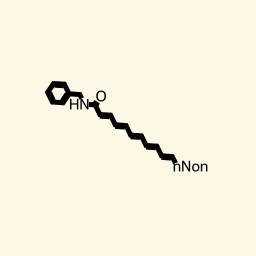 CCCCCCCCCC=CC=CC=CC=CC=CC(=O)NCc1ccccc1